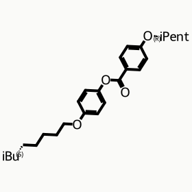 CCC[C@@H](C)Oc1ccc(C(=O)Oc2ccc(OCCCCC[C@@H](C)CC)cc2)cc1